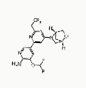 Nc1ncc(-c2cc(N3C[C@@H]4C[C@H]3CO4)nc(CC(F)(F)F)n2)cc1OC(F)F